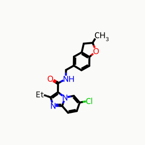 CCc1nc2ccc(Cl)cn2c1C(=O)NCc1ccc2c(c1)CC(C)O2